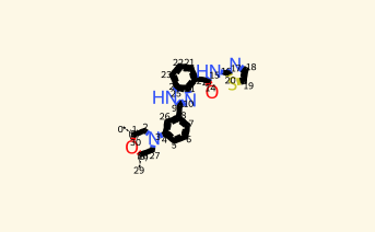 C[C@@H]1CN(c2cccc(-c3nc4c(C(=O)Nc5nccs5)cccc4[nH]3)c2)C[C@H](C)O1